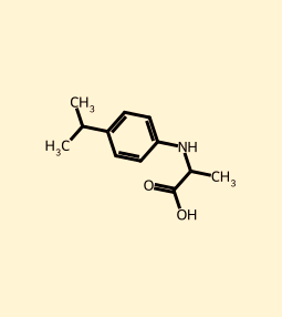 CC(Nc1ccc(C(C)C)cc1)C(=O)O